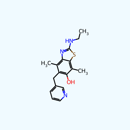 CCNc1nc2c(C)c(Cc3cccnc3)c(O)c(C)c2s1